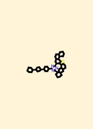 c1ccc(-c2ccc(-c3ccc(-c4nc(-c5ccccc5)nc(-c5cc6ccc7ccccc7c6c6sc7ccc8ccccc8c7c56)n4)cc3)cc2)cc1